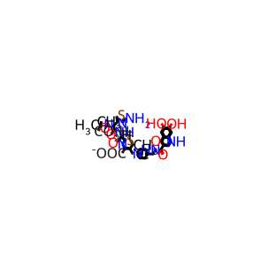 C[C@@H]1S[C@@H]2[C@H](NC(=O)/C(=N\OC(C)(C)C(=O)O)c3csc(N)n3)C(=O)N2C(C(=O)[O-])=C1C[N+]12CCC(CNC(=O)c3c[nH]c4cc(O)c(O)cc4c3=O)(CC1)CC2